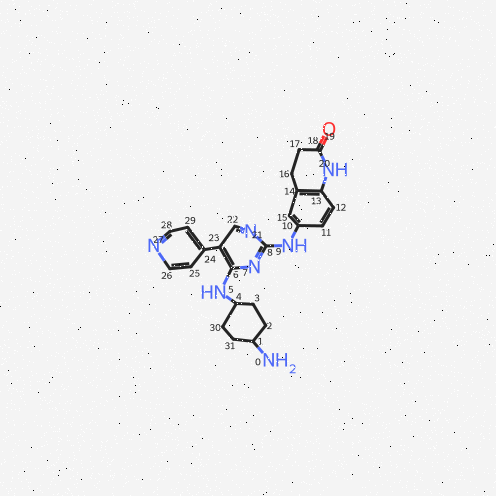 NC1CCC(Nc2nc(Nc3ccc4c(c3)CCC(=O)N4)ncc2-c2ccncc2)CC1